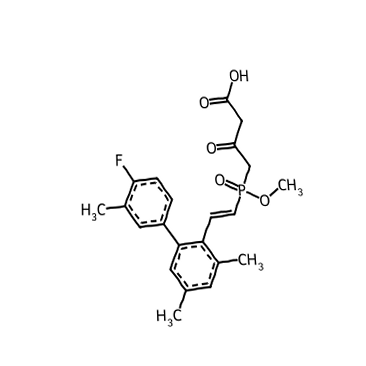 COP(=O)(/C=C/c1c(C)cc(C)cc1-c1ccc(F)c(C)c1)CC(=O)CC(=O)O